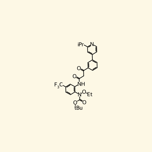 CCON(C(=O)OC(C)(C)C)c1ccc(C(F)(F)F)cc1NC(=O)CC(=O)c1cccc(-c2ccnc(C(C)C)c2)c1